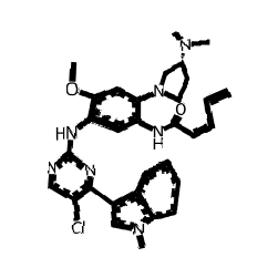 C=C/C=C\C(=O)Nc1cc(Nc2ncc(Cl)c(-c3cn(C)c4ccccc34)n2)c(OC)cc1N1CC[C@@H](N(C)C)C1